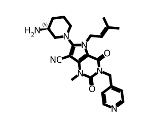 CC(C)=CCn1c(N2CCC[C@H](N)C2)c(C#N)c2c1c(=O)n(Cc1ccncc1)c(=O)n2C